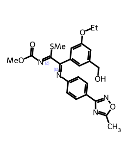 CCOc1cc(CO)cc(C(=N\c2ccc(-c3noc(C)n3)cc2)/C(=N/C(=O)OC)SC)c1